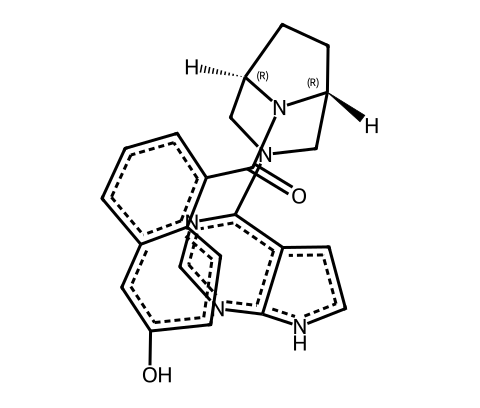 O=C(c1cccc2cc(O)ccc12)N1[C@@H]2CC[C@@H]1CN(c1ncnc3[nH]ccc13)C2